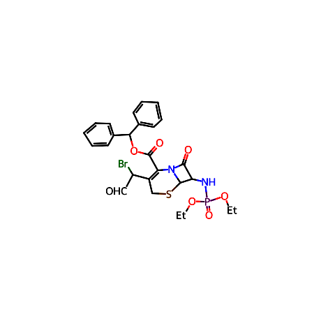 CCOP(=O)(NC1C(=O)N2C(C(=O)OC(c3ccccc3)c3ccccc3)=C(C(Br)C=O)CSC12)OCC